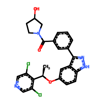 C[C@@H](Oc1ccc2[nH]nc(-c3cccc(C(=O)N4CCC(O)C4)c3)c2c1)c1c(Cl)cncc1Cl